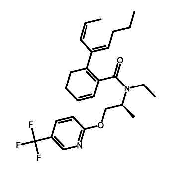 C/C=C\C(=C/CCC)C1=C(C(=O)N(CC)[C@@H](C)COc2ccc(C(F)(F)F)cn2)C=CCC1